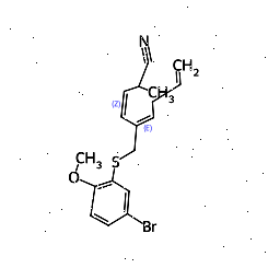 C=CC/C=C(\C=C/C(C)C#N)CSc1cc(Br)ccc1OC